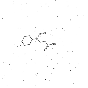 O=CN(CCC(=O)O)C1CCCCC1